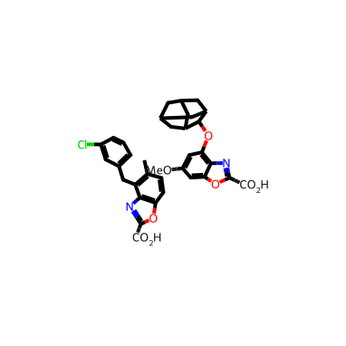 COc1cc(OC2C3CC4CC(C3)CC2C4)c2nc(C(=O)O)oc2c1.Cc1ccc2oc(C(=O)O)nc2c1Cc1cccc(Cl)c1